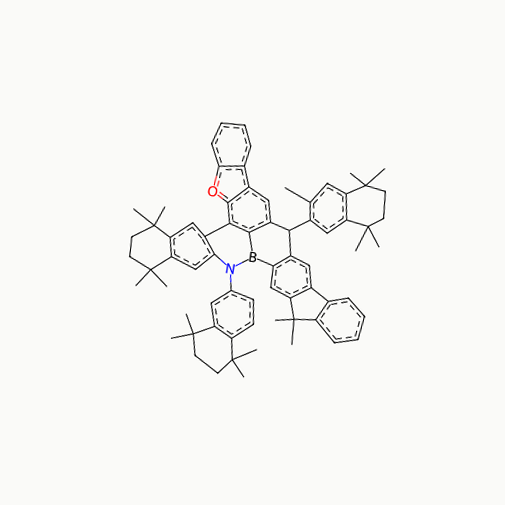 Cc1cc2c(cc1C1c3cc4c(cc3B3c5c1cc1c(oc6ccccc61)c5-c1cc5c(cc1N3c1ccc3c(c1)C(C)(C)CCC3(C)C)C(C)(C)CCC5(C)C)C(C)(C)c1ccccc1-4)C(C)(C)CCC2(C)C